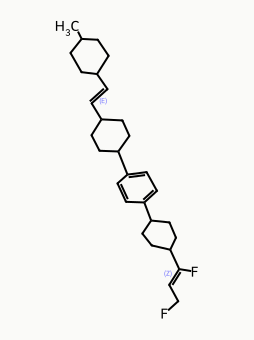 CC1CCC(/C=C/C2CCC(c3ccc(C4CCC(/C(F)=C/CF)CC4)cc3)CC2)CC1